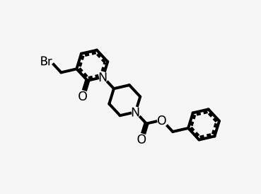 O=C(OCc1ccccc1)N1CCC(n2cccc(CBr)c2=O)CC1